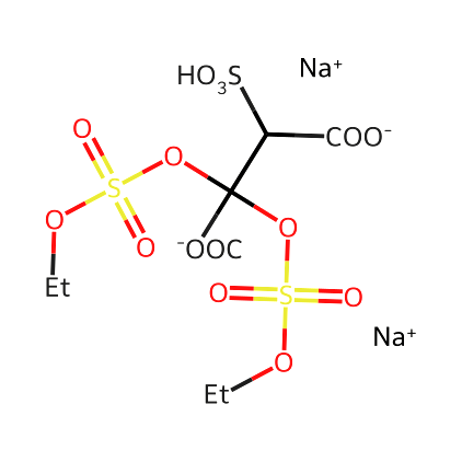 CCOS(=O)(=O)OC(OS(=O)(=O)OCC)(C(=O)[O-])C(C(=O)[O-])S(=O)(=O)O.[Na+].[Na+]